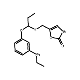 CCNc1cccc(OC(CC)SCc2c[nH]c(=O)o2)c1